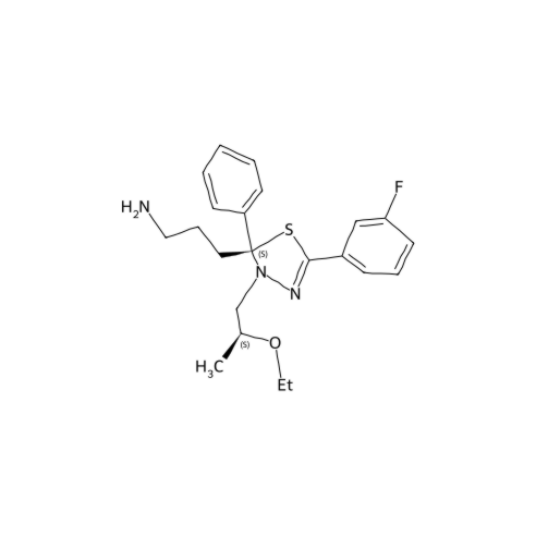 CCO[C@@H](C)CN1N=C(c2cccc(F)c2)S[C@@]1(CCCN)c1ccccc1